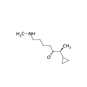 CNCCCCC(=O)[C@@H](C)C1CC1